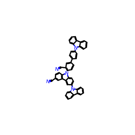 N#Cc1ccc2c(c1)c1cc(-n3c4ccccc4c4ccccc43)ccc1n2-c1ccc(-c2ccc(-n3c4ccccc4c4ccccc43)cc2)cc1C#N